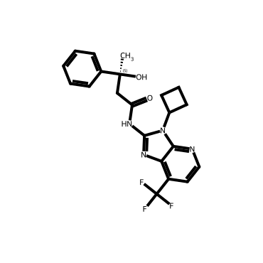 C[C@](O)(CC(=O)Nc1nc2c(C(F)(F)F)ccnc2n1C1CCC1)c1ccccc1